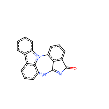 NC1=NC(=O)c2cccc(-n3c4ccccc4c4ccccc43)c21